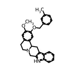 COc1cc2c(cc1OCc1cccc(C)c1)C1Cc3c([nH]c4ccccc34)CN1CC2